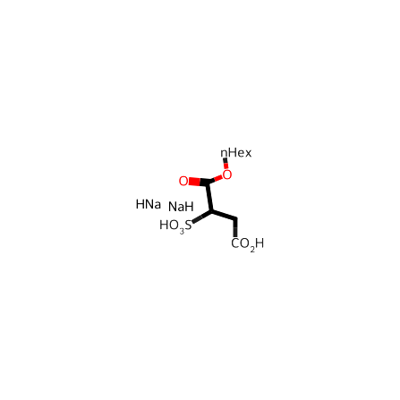 CCCCCCOC(=O)C(CC(=O)O)S(=O)(=O)O.[NaH].[NaH]